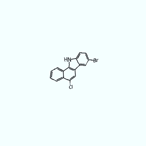 Clc1cc2c3cc(Br)ccc3[nH]c2c2ccccc12